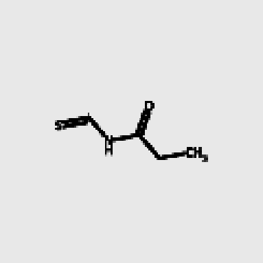 CCC(=O)N[C]=S